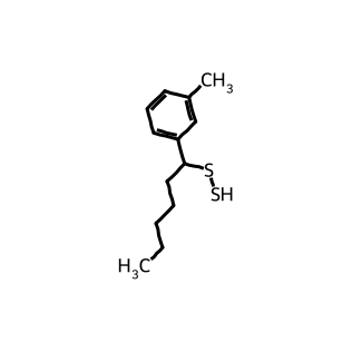 CCCCCC(SS)c1cccc(C)c1